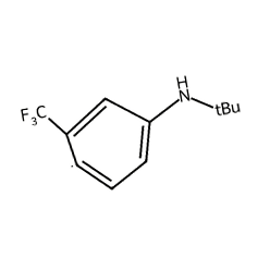 CC(C)(C)Nc1cc[c]c(C(F)(F)F)c1